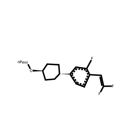 CCCCCO[C@H]1CC[C@H](c2ccc(C=C(F)F)c(F)c2)CC1